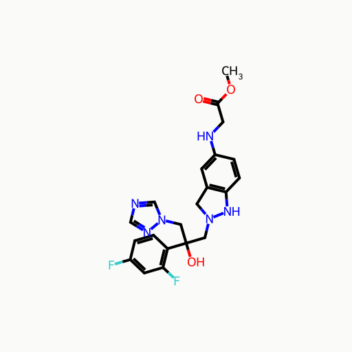 COC(=O)CNc1ccc2c(c1)CN(CC(O)(Cn1cncn1)c1ccc(F)cc1F)N2